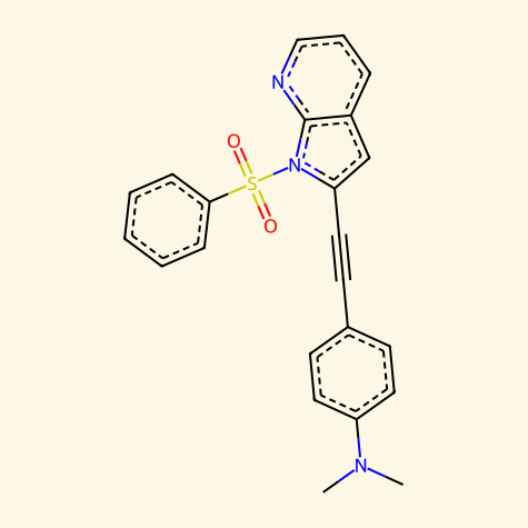 CN(C)c1ccc(C#Cc2cc3cccnc3n2S(=O)(=O)c2ccccc2)cc1